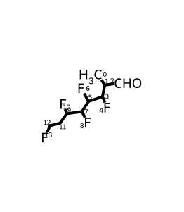 CC(C=O)C(F)C(F)C(F)C(F)CCF